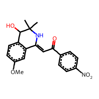 COc1ccc2c(c1)/C(=C/C(=O)c1ccc([N+](=O)[O-])cc1)NC(C)(C)C2O